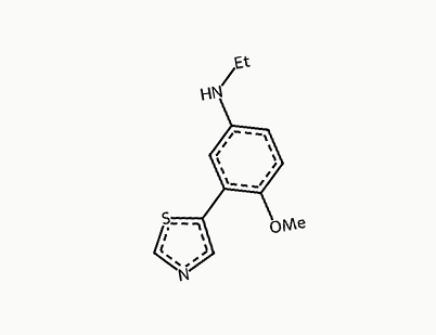 CCNc1ccc(OC)c(-c2cncs2)c1